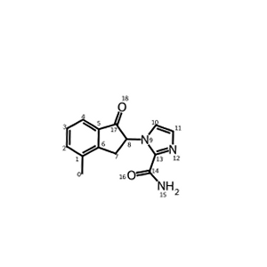 Cc1cccc2c1CC(n1ccnc1C(N)=O)C2=O